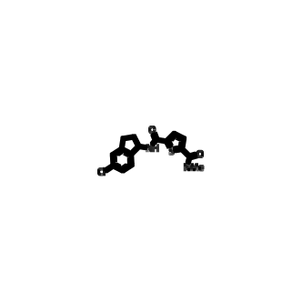 CNC(=O)c1ccc(C(=O)NC2CCc3cc(Cl)ccc32)s1